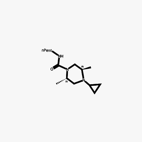 CCCCCNC(=O)N1C[C@@H](C)N(C2CC2)C[C@@H]1C